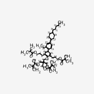 C=C(C)C(=O)OCCCc1cc(-c2ccc(C3CCC(CCCCC)CC3)cc2CC)cc(CCCOC(=O)C(=C)C)c1OCC(CO)(COC(=O)C(=C)C)COC(=O)C(=C)C